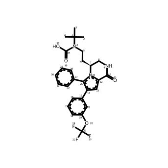 CC(C)(C)N(CC[C@H]1CNC(=O)c2cc(-c3cccc(OC(F)(F)F)c3)c(-c3ccccc3)n21)C(=O)O